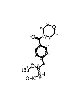 CC(C)(C)ON(Cc1ccc(C(=O)N2CCOCC2)cc1)NC=O